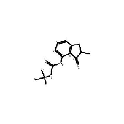 CC1Cc2cccc(OC(=O)OC(C)(C)C)c2C1=O